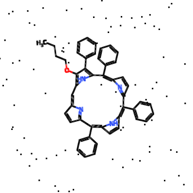 CCCCOc1c(-c2ccccc2)c2[nH]c1cc1nc(c(-c3ccccc3)c3ccc([nH]3)c(-c3ccccc3)c3nc(c2-c2ccccc2)C=C3)C=C1